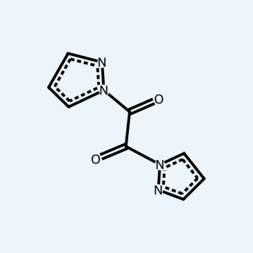 O=C(C(=O)n1cccn1)n1cccn1